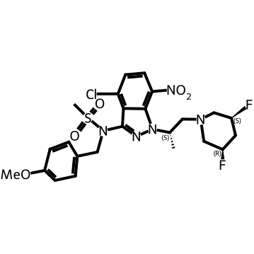 COc1ccc(CN(c2nn([C@@H](C)CN3C[C@H](F)C[C@H](F)C3)c3c([N+](=O)[O-])ccc(Cl)c23)S(C)(=O)=O)cc1